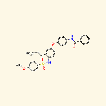 CCCCOc1ccc(S(=O)(=O)Nc2ccc(Oc3ccc(NC(=O)c4ccccc4)cc3)cc2C=CC(=O)O)cc1